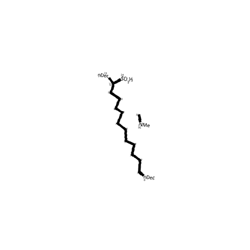 CCCCCCCCCCCCCCCCCCCCCC(CCCCCCCCCC)S(=O)(=O)O.CNC